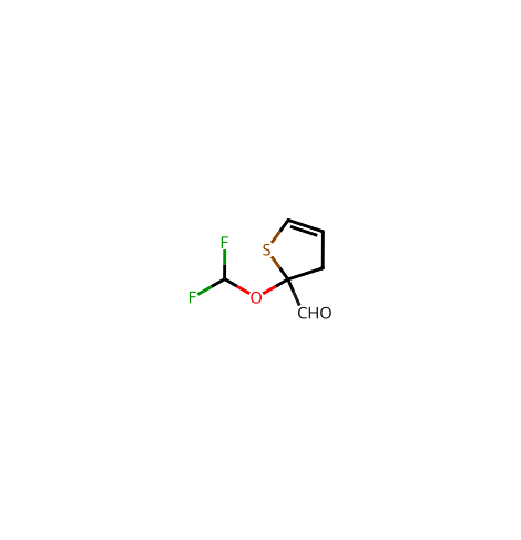 O=CC1(OC(F)F)CC=CS1